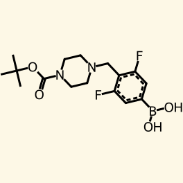 CC(C)(C)OC(=O)N1CCN(Cc2c(F)cc(B(O)O)cc2F)CC1